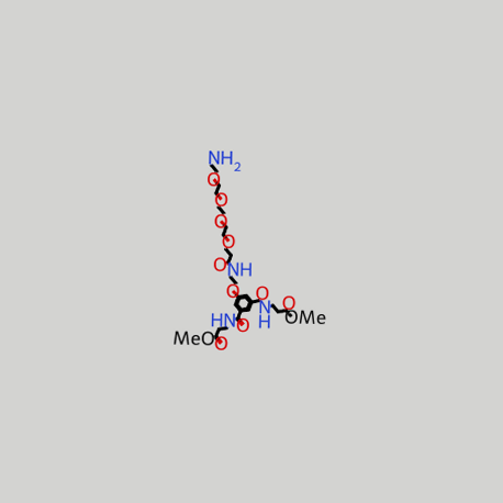 COC(=O)CCNC(=O)c1cc(OCCNC(=O)CCOCCOCCOCCOCCN)cc(C(=O)NCCC(=O)OC)c1